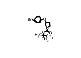 CC(C)(C)OC(=O)N1CCC(Oc2ccc(Br)cc2)C1